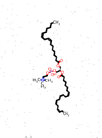 CC/C=C\C/C=C\C/C=C\C/C=C\CCCCCCC(=O)O[C@H](COC(=O)CCCCCCC/C=C\C/C=C\CCCCC)COP(=O)(O)OCC[N+](C)(C)C